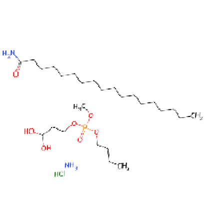 CCCCCCCCCCCCCCCCCC(N)=O.CCCCOP(=O)(OC)OCCC(O)O.Cl.N